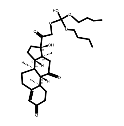 CCCCOC(O)(OCCCC)OCC(=O)[C@@]1(O)CC[C@H]2[C@@H]3CCC4=CC(=O)CC[C@]4(C)[C@H]3C(=O)C[C@@]21C